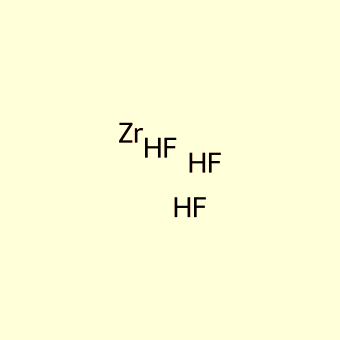 F.F.F.[Zr]